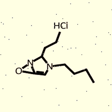 CCCCN1C=C2ON2C1CCC.Cl